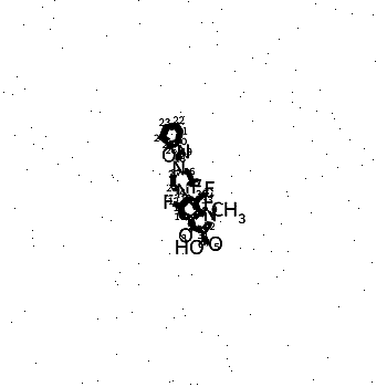 Cn1cc(C(=O)O)c(=O)c2cc(F)c(N3CCN(c4nc5ccccc5o4)CC3)c(C(F)(F)F)c21